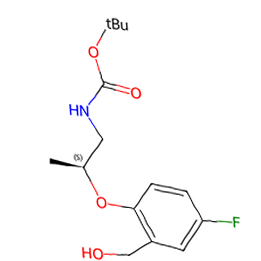 C[C@@H](CNC(=O)OC(C)(C)C)Oc1ccc(F)cc1CO